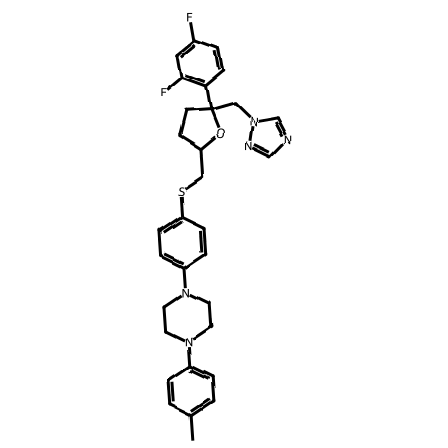 Cc1ccc(N2CCN(c3ccc(SCC4CCC(Cn5cncn5)(c5ccc(F)cc5F)O4)cc3)CC2)cc1